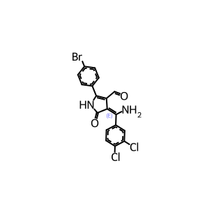 N/C(=C1/C(=O)NC(c2ccc(Br)cc2)=C1C=O)c1ccc(Cl)c(Cl)c1